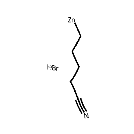 Br.N#CCCC[CH2][Zn]